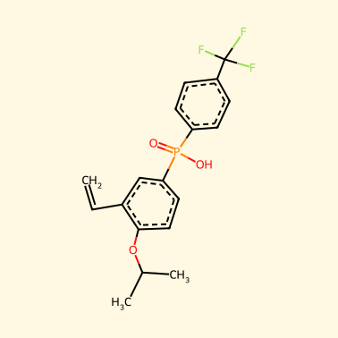 C=Cc1cc(P(=O)(O)c2ccc(C(F)(F)F)cc2)ccc1OC(C)C